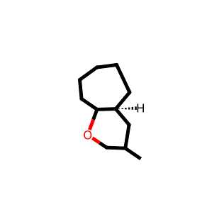 CC1COC2CCCCC[C@H]2C1